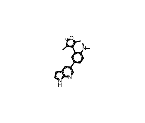 Cc1noc(C)c1-c1cc(-c2cnc3[nH]ccc3c2)ccc1N(C)C